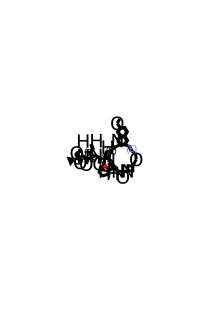 C=C[C@H](C)[C@@](C)(NC(=O)[C@@H]1C[C@H]2Cc3nc4cc(OC)ccc4cc3/C=C/COC3CN(C3)C(=O)N[C@@H](C3CCCCC3)C(=O)N1C2)C(=O)NS(=O)(=O)C1CC1